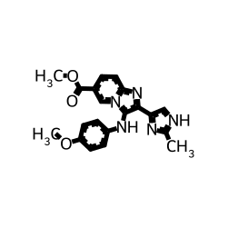 COC(=O)c1ccc2nc(-c3c[nH]c(C)n3)c(Nc3ccc(OC)cc3)n2c1